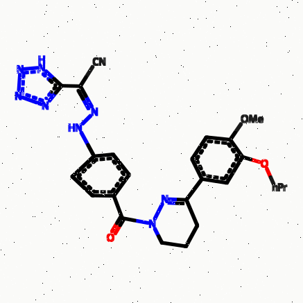 CCCOc1cc(C2=NN(C(=O)c3ccc(NN=C(C#N)c4nnn[nH]4)cc3)CCC2)ccc1OC